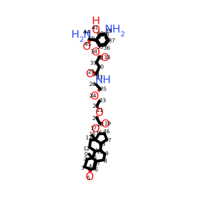 CC12CCC(=O)C=C1CCC1C2CCC2(C)C(OC(=O)COCCOCCNC(=O)CCC(=O)Oc3ccc(N)c(O)c3C(N)=O)CCC12